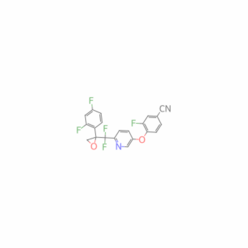 N#Cc1ccc(Oc2ccc(C(F)(F)C3(c4ccc(F)cc4F)CO3)nc2)c(F)c1